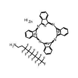 I.NCCC(F)(F)C(F)(F)C(F)(F)C(F)(F)C(F)(F)C(F)(F)F.[Zn].c1ccc2c(c1)-c1nc-2nc2[nH]c(nc3nc(nc4[nH]c(n1)c1ccccc41)-c1ccccc1-3)c1ccccc21